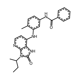 CCC(C)n1c(=O)[nH]c2c(Nc3cc(NC(=O)c4ccccc4)ccc3C)ccnc21